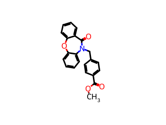 COC(=O)c1ccc(CN2C(=O)c3ccccc3Oc3ccccc32)cc1